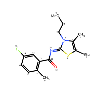 COCCn1c(C)c(C(C)(C)C)s/c1=N\C(=O)c1cc(F)ccc1C